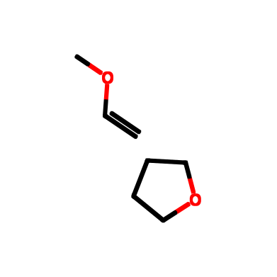 C1CCOC1.C=COC